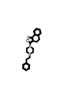 c1ccc(CCN2CCN(c3onc4c3CCc3ccccc3-4)CC2)cc1